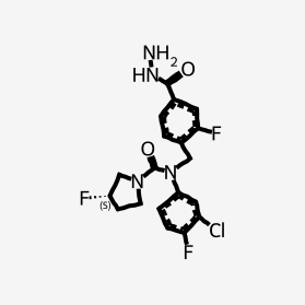 NNC(=O)c1ccc(CN(C(=O)N2CC[C@H](F)C2)c2ccc(F)c(Cl)c2)c(F)c1